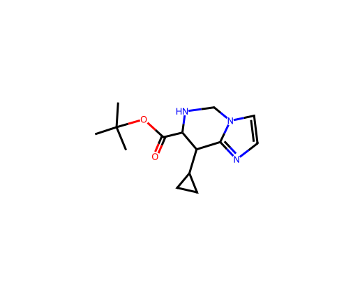 CC(C)(C)OC(=O)C1NCn2ccnc2C1C1CC1